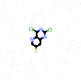 Fc1cnc2c(Cl)nc(Cl)nc2c1